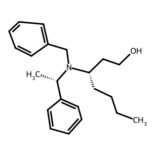 CCCC[C@@H](CCO)N(Cc1ccccc1)[C@@H](C)c1ccccc1